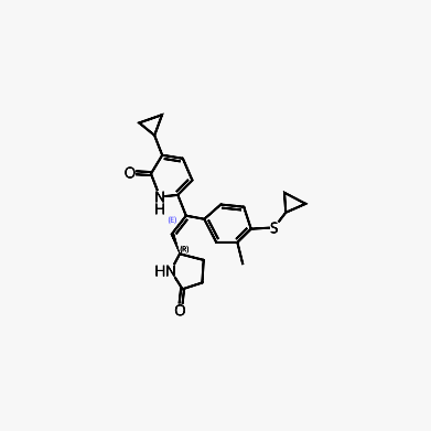 Cc1cc(/C(=C\[C@H]2CCC(=O)N2)c2ccc(C3CC3)c(=O)[nH]2)ccc1SC1CC1